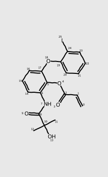 C=CC(=O)Oc1c(NC(=O)C(C)(C)O)cccc1Oc1ccccc1I